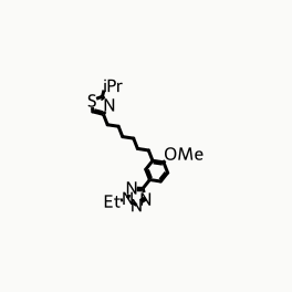 CCn1nnc(-c2ccc(OC)c(CCCCCCc3csc(C(C)C)n3)c2)n1